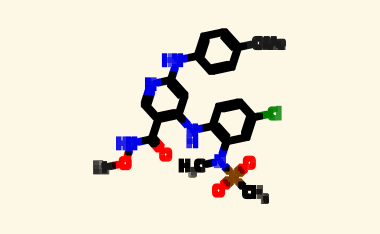 CCONC(=O)c1cnc(Nc2ccc(OC)cc2)cc1Nc1ccc(Cl)cc1N(C)S(C)(=O)=O